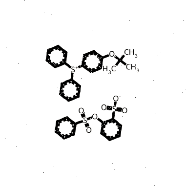 CC(C)(C)Oc1ccc([S+](c2ccccc2)c2ccccc2)cc1.O=S(=O)([O-])c1ccccc1OS(=O)(=O)c1ccccc1